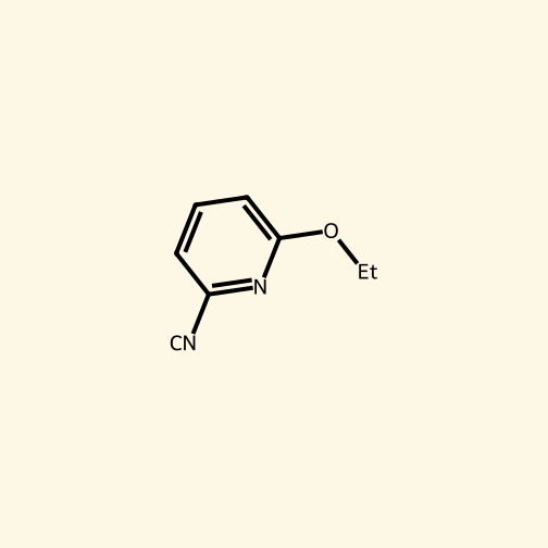 [C-]#[N+]c1cccc(OCC)n1